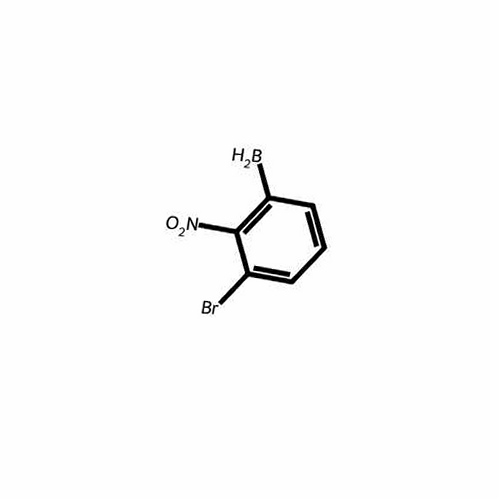 Bc1cccc(Br)c1[N+](=O)[O-]